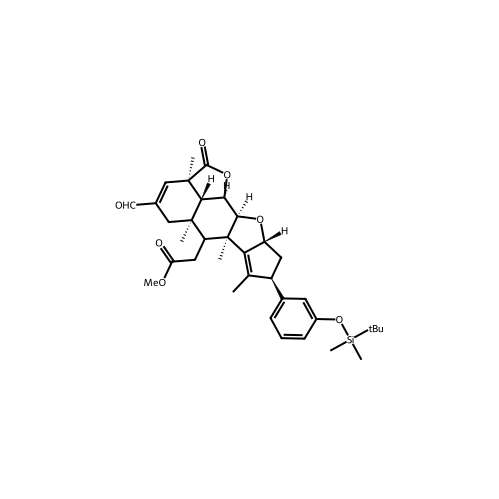 COC(=O)CC1[C@]2(C)C3=C(C)[C@H](c4cccc(O[Si](C)(C)C(C)(C)C)c4)C[C@H]3O[C@@H]2[C@@H]2OC(=O)[C@]3(C)C=C(C=O)C[C@@]1(C)[C@@H]23